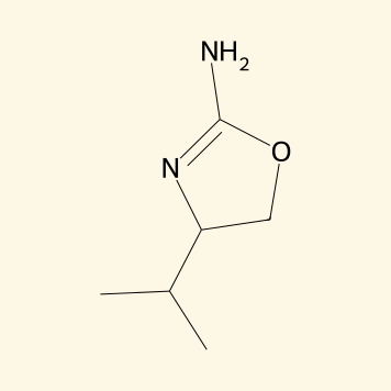 CC(C)C1COC(N)=N1